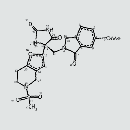 COc1ccc2c(c1)C(=O)N(C[C@@]1(c3cc4c(o3)CCN(S(C)(=O)=O)C4)NC(=O)NC1=O)C2